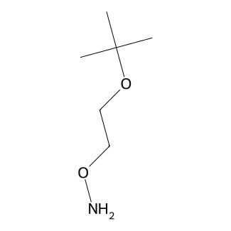 CC(C)(C)OCCON